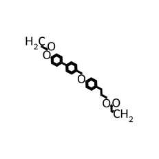 C=CC(=O)OCCCc1ccc(OCc2ccc(-c3ccc(OC(=O)C=C)cc3)cc2)cc1